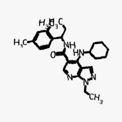 CCC(NC(=O)c1cnc2c(cnn2CC)c1NC1CCCCC1)c1ccc(C)cc1C